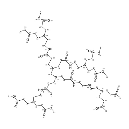 COC(=O)CCN(CCNC(=O)CCN(CCC(=O)NCCNCCN(CCC(C)=O)CCC(C)=O)CN(CCC(=O)NCCN(CCC(=O)OC)CCC(=O)OC)CCC(=O)NCCN(CCC(=O)OC)CCC(=O)OC)CCC(=O)OC